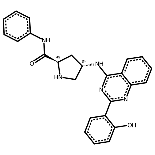 O=C(Nc1ccccc1)[C@H]1C[C@H](Nc2nc(-c3ccccc3O)nc3ccccc23)CN1